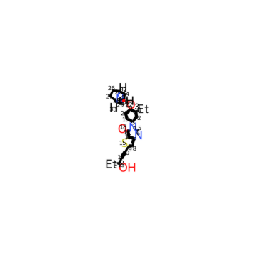 CCc1cc(-n2cnc3cc(C#CC(O)CC)sc3c2=O)ccc1O[C@H]1C[C@H]2CC[C@@H](C1)N2C